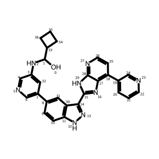 OC(Nc1cncc(-c2ccc3[nH]nc(-c4nc5c(-c6cccnc6)ccnc5[nH]4)c3c2)c1)C1CCC1